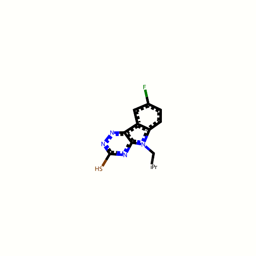 CC(C)Cn1c2ccc(F)cc2c2nnc(S)nc21